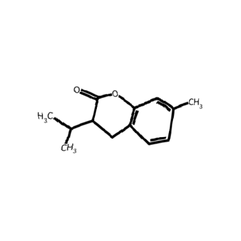 Cc1ccc2c(c1)OC(=O)C(C(C)C)C2